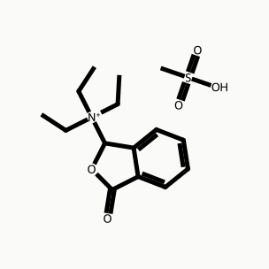 CC[N+](CC)(CC)C1OC(=O)c2ccccc21.CS(=O)(=O)O